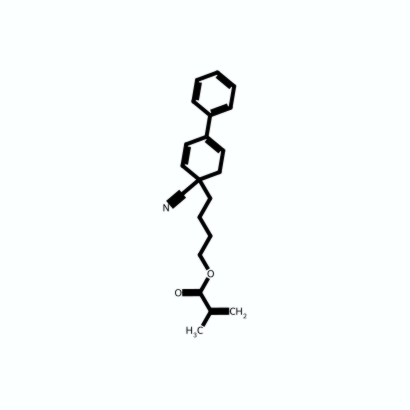 C=C(C)C(=O)OCCCCC1(C#N)C=CC(c2ccccc2)=CC1